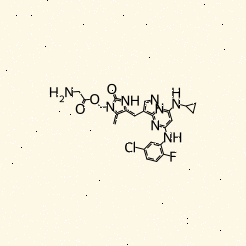 C=c1/c(=C/c2cnn3c(NC4CC4)cc(Nc4cc(Cl)ccc4F)nc23)[nH]c(=O)n1COC(=O)CN